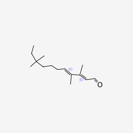 CCC(C)(C)CCC/C=C(C)/C(C)=C/C=O